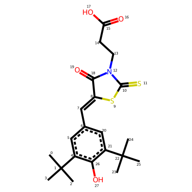 CC(C)(C)c1cc(/C=C2\SC(=S)N(CCC(=O)O)C2=O)cc(C(C)(C)C)c1O